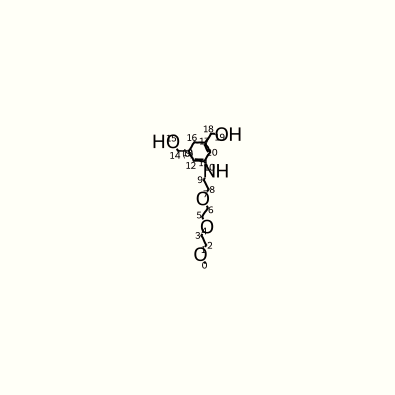 COCCOCCOCCNC1=C[C@@H](CO)CC(CO)=C1